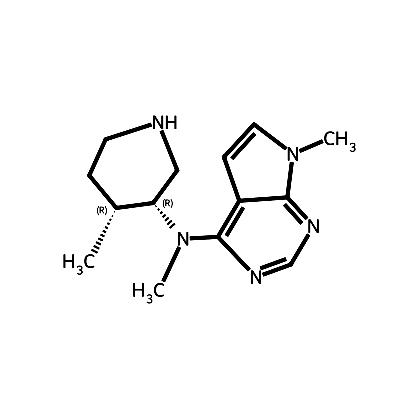 C[C@@H]1CCNC[C@@H]1N(C)c1ncnc2c1ccn2C